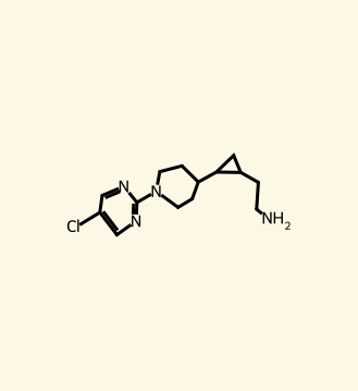 NCCC1CC1C1CCN(c2ncc(Cl)cn2)CC1